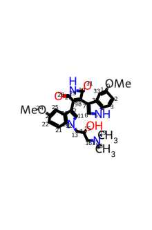 COc1ccc2[nH]cc(C3=C(c4cn(CC(O)CN(C)C)c5ccc(OC)cc45)C(=O)NC3=O)c2c1